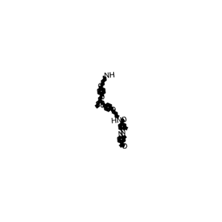 C=CCC(COc1ccc(OCCCCNC)cc1)COc1ccc(OCCCCNC(=O)c2ccc(N=Nc3ccc(C(C)=O)cc3C)c(C)c2)cc1